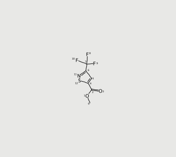 COC(=O)c1cc(C(F)(F)F)ns1